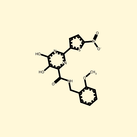 COc1ccccc1CNC(=O)c1nc(-c2ccc([N+](=O)[O-])s2)nc(O)c1O